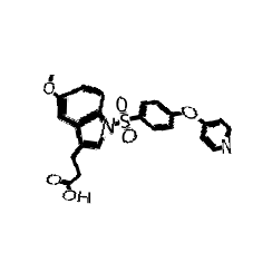 COc1ccc2c(c1)c(CCC(=O)O)cn2S(=O)(=O)c1ccc(Oc2ccncc2)cc1